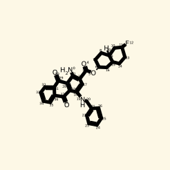 Nc1c(C(=O)O[C@@H]2CC[C@@H]3CC(F)CCC3C2)cc(NCc2ccccc2)c2c1C(=O)c1ccccc1C2=O